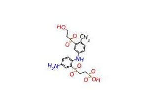 Cc1ccc(Nc2ccc(N)cc2S(=O)(=O)CCS(=O)(=O)O)cc1S(=O)(=O)CCO